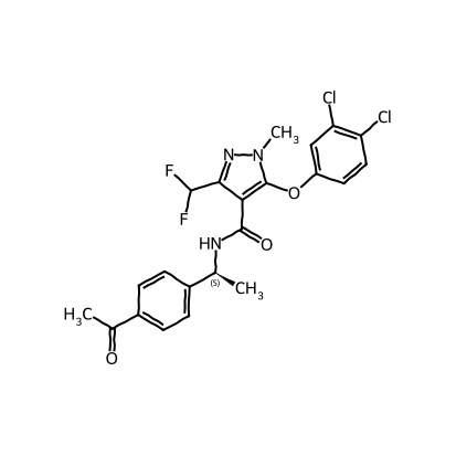 CC(=O)c1ccc([C@H](C)NC(=O)c2c(C(F)F)nn(C)c2Oc2ccc(Cl)c(Cl)c2)cc1